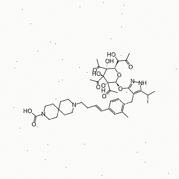 CC(=O)C(O)[C@H]1O[C@@H](Oc2n[nH]c(C(C)C)c2Cc2ccc(/C=C/CCN3CCC4(CC3)CCN(C(=O)O)CC4)cc2C)[C@@](O)(C(C)=O)[C@](O)(C(C)=O)[C@@]1(O)C(C)=O